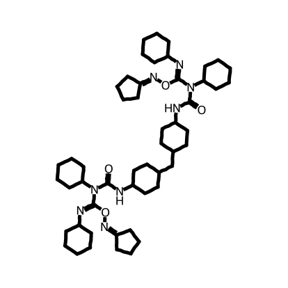 O=C(NC1CCC(CC2CCC(NC(=O)N(/C(=N/C3CCCCC3)ON=C3CCCC3)C3CCCCC3)CC2)CC1)N(/C(=N/C1CCCCC1)ON=C1CCCC1)C1CCCCC1